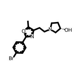 Cc1oc(-c2ccc(Br)cc2)nc1CCN1CC[C@H](O)C1